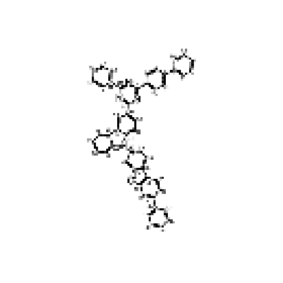 c1ccc(-c2ccc(-c3nc(-c4ccccc4)nc(-c4ccc5c(c4)c4ccccc4n5-c4ccc5c(c4)oc4cc(-c6ccccc6)ccc45)n3)cc2)cc1